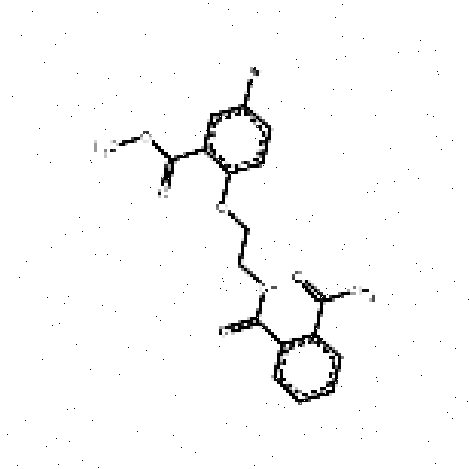 COC(=O)c1cc(Br)ccc1OCCNC(=O)c1ccccc1C(C)=O